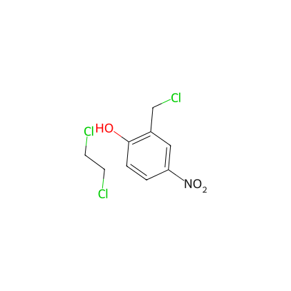 ClCCCl.O=[N+]([O-])c1ccc(O)c(CCl)c1